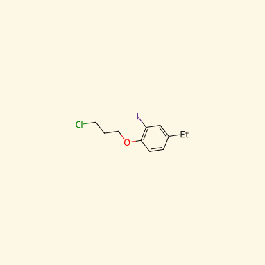 CCc1ccc(OCCCCl)c(I)c1